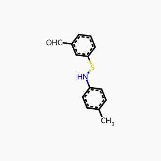 Cc1ccc(NSc2cccc(C=O)c2)cc1